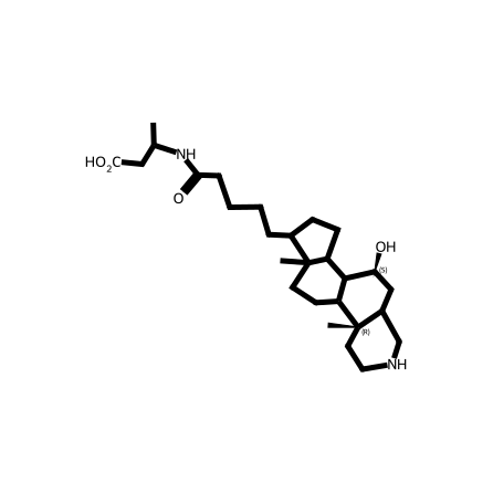 CC(CC(=O)O)NC(=O)CCCCC1CCC2C3C(CCC12C)[C@@]1(C)CCNCC1C[C@@H]3O